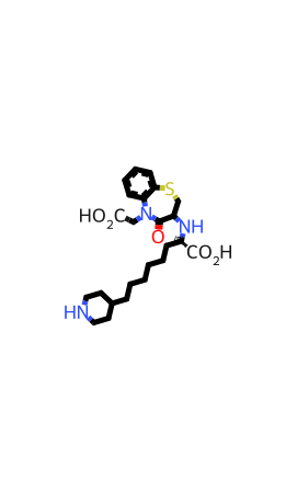 O=C(O)CN1C(=O)C(N[C@H](CCCCCCC2CCNCC2)C(=O)O)CSc2ccccc21